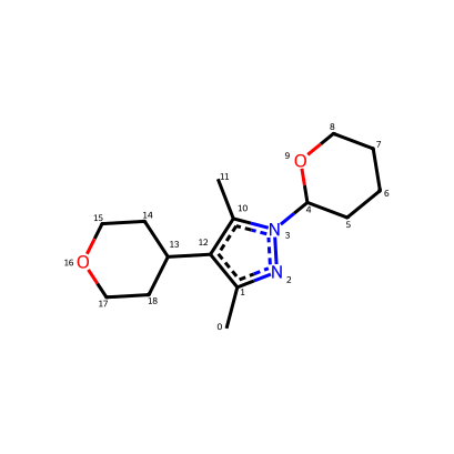 Cc1nn(C2CCCCO2)c(C)c1C1CCOCC1